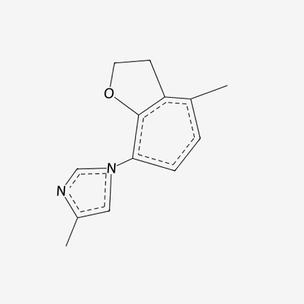 Cc1cn(-c2ccc(C)c3c2OCC3)cn1